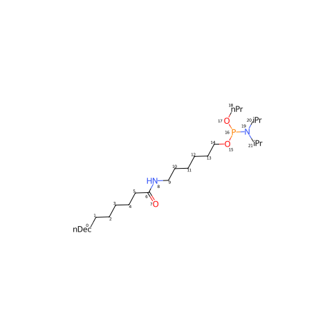 CCCCCCCCCCCCCCCC(=O)NCCCCCCOP(OCCC)N(C(C)C)C(C)C